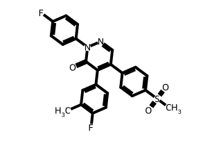 Cc1cc(-c2c(-c3ccc(S(C)(=O)=O)cc3)cnn(-c3ccc(F)cc3)c2=O)ccc1F